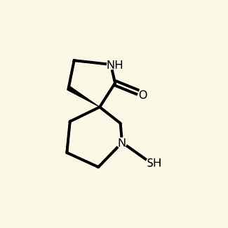 O=C1NCC[C@@]12CCCN(S)C2